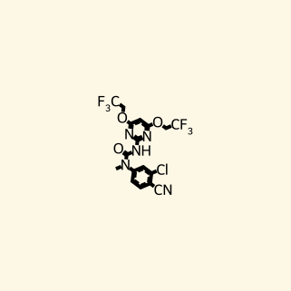 CN(C(=O)Nc1nc(OCC(F)(F)F)cc(OCC(F)(F)F)n1)c1ccc(C#N)c(Cl)c1